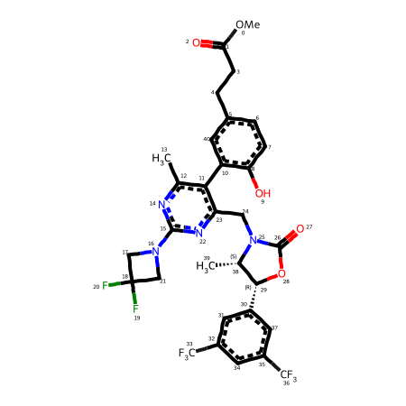 COC(=O)CCc1ccc(O)c(-c2c(C)nc(N3CC(F)(F)C3)nc2CN2C(=O)O[C@H](c3cc(C(F)(F)F)cc(C(F)(F)F)c3)[C@@H]2C)c1